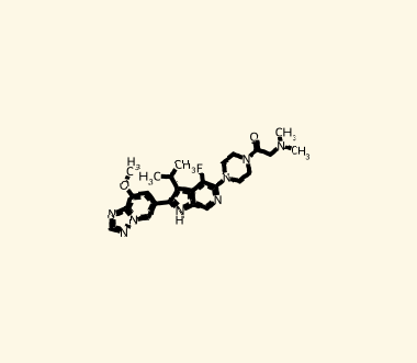 COc1cc(-c2[nH]c3cnc(N4CCN(C(=O)CN(C)C)CC4)c(F)c3c2C(C)C)cn2ncnc12